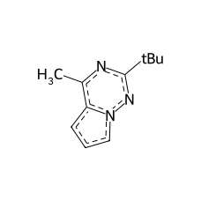 Cc1nc(C(C)(C)C)nn2cccc12